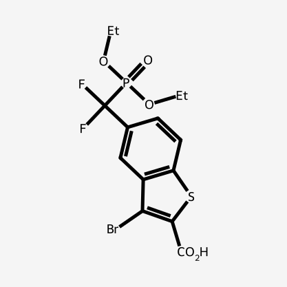 CCOP(=O)(OCC)C(F)(F)c1ccc2sc(C(=O)O)c(Br)c2c1